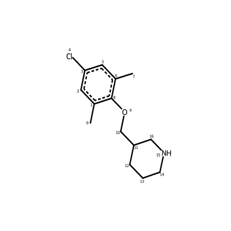 Cc1cc(Cl)cc(C)c1OCC1CCCNC1